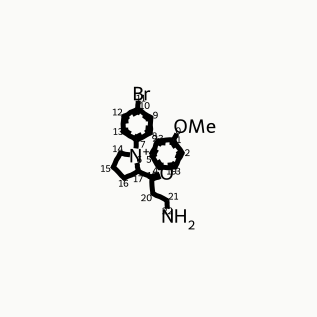 COc1cccc([N+]2(c3ccc(Br)cc3)CCCC2C(=O)CCN)c1